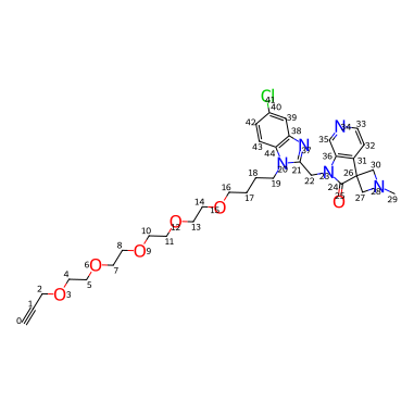 C#CCOCCOCCOCCOCCOCCCCn1c(CN2C(=O)C3(CN(C)C3)c3ccncc32)nc2cc(Cl)ccc21